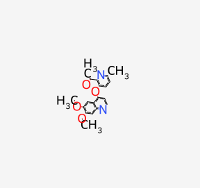 COc1cc2nccc(Oc3ccc(C)nc3C(C)=O)c2cc1OC